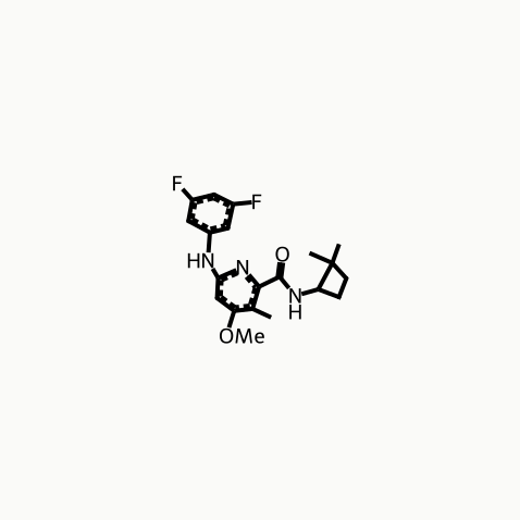 COc1cc(Nc2cc(F)cc(F)c2)nc(C(=O)NC2CCC2(C)C)c1C